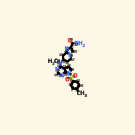 Cc1ccc(S(=O)(=O)n2ccc3c(N(C)C4CCn5cc(C(N)=O)nc5C4)ncnc32)cc1